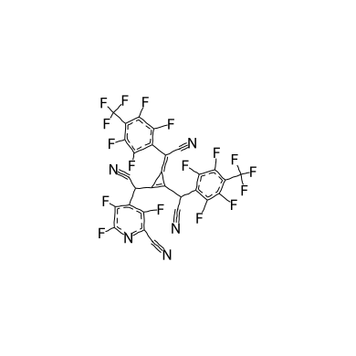 N#CC(=C1C(C(C#N)c2c(F)c(F)nc(C#N)c2F)=C1C(C#N)c1c(F)c(F)c(C(F)(F)F)c(F)c1F)c1c(F)c(F)c(C(F)(F)F)c(F)c1F